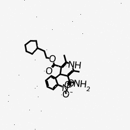 CC1=C(C(N)=O)C(c2ccccc2[N+](=O)[O-])C(C(=O)OCCC2CCCCC2)=C(C)N1